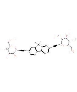 CC1(C)c2cc(C#CC3OC(CO)[C@@H](O)C(O)C3O)ccc2-c2ccc(C#CC3OC(CO)[C@@H](O)C(O)C3O)cc21